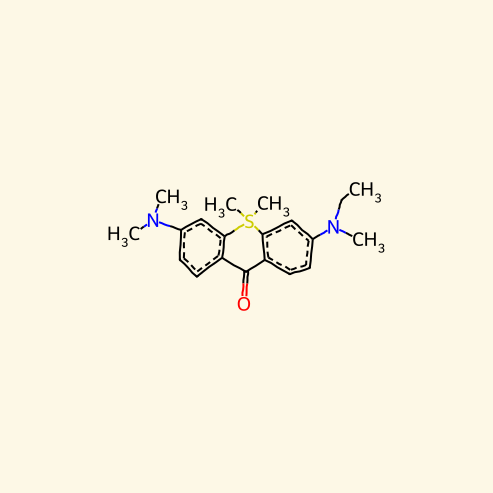 CCN(C)c1ccc2c(c1)S(C)(C)c1cc(N(C)C)ccc1C2=O